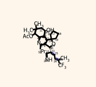 CC(=O)OC1c2nc(C(C)C)c3c(c2[C@@H](O)CC1(C)C)C1(CCCC1)O[C@@H]3/C(C=N)=C/C=C(\C)C(F)(F)F